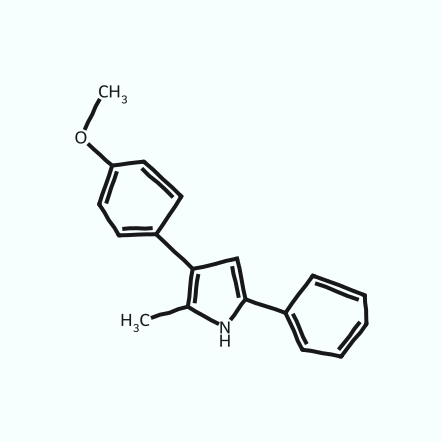 COc1ccc(-c2cc(-c3ccccc3)[nH]c2C)cc1